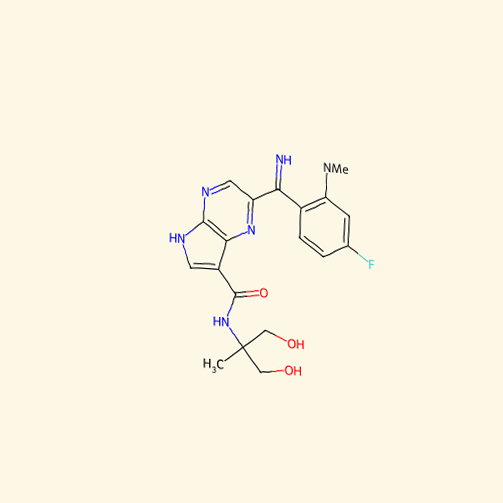 CNc1cc(F)ccc1C(=N)c1cnc2[nH]cc(C(=O)NC(C)(CO)CO)c2n1